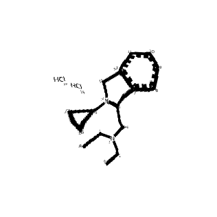 CCN(CC)CC1c2ccccc2CN1C1CC1.Cl.Cl